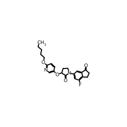 CCCCCOc1ccc(OC2CCN(c3cc(F)c4c(c3)C(=O)CC4)C2=O)cn1